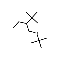 CCC(COC(C)(C)C)C(C)(C)C